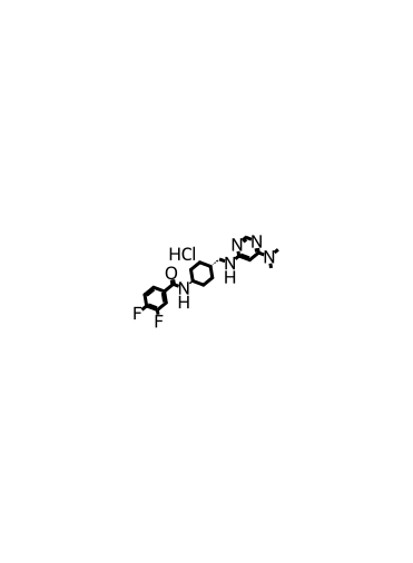 CN(C)c1cc(NC[C@H]2CC[C@@H](NC(=O)c3ccc(F)c(F)c3)CC2)ncn1.Cl